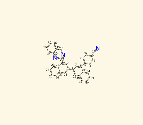 N#Cc1ccc(-c2cc(-c3cc(-c4ncc5ccccc5n4)c4ccccc4c3)cc3ccccc23)cc1